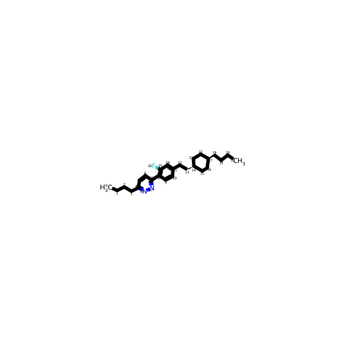 CCCCc1ccc(-c2ccc(CC[C@H]3CC[C@H](CCCC)CC3)cc2F)nn1